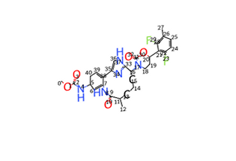 COC(=O)NC1C=C2NC(=O)C(C)CCCC(N3CCC(c4c(F)ccc(C)c4F)OC3=O)c3nc(c[nH]3)C2=CC1